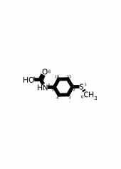 CSC1CCC(NC(=O)O)CC1